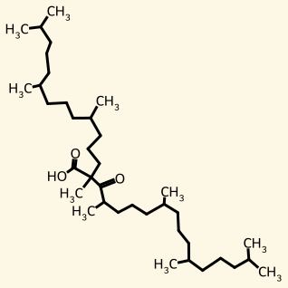 CC(C)CCCC(C)CCCC(C)CCCC(C)C(=O)C(C)(CCCC(C)CCCC(C)CCCC(C)C)C(=O)O